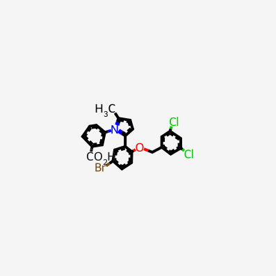 Cc1ccc(-c2cc(Br)ccc2OCc2cc(Cl)cc(Cl)c2)n1-c1cccc(C(=O)O)c1